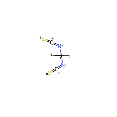 CC(C)(N=C=S)N=C=S